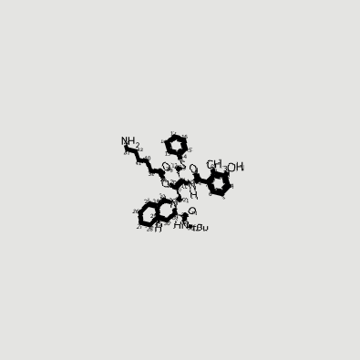 Cc1c(O)cccc1C(=O)N[C@@H](CSc1ccccc1)[C@@H](CN1CC2CCCC[C@H]2C[C@H]1C(=O)NC(C)(C)C)OC(=O)CCCCCN